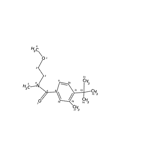 COCCN(C)C(=O)c1ccc(C(C)(C)C)c(C)c1